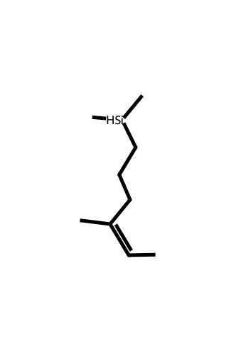 CC=C(C)CCC[SiH](C)C